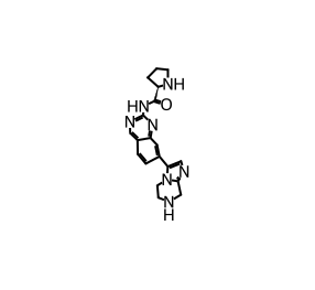 O=C(Nc1ncc2ccc(-c3cnc4n3CCNC4)cc2n1)[C@H]1CCCN1